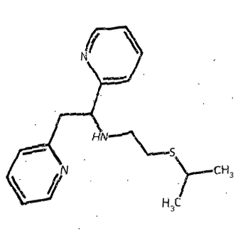 CC(C)SCCNC(Cc1ccccn1)c1ccccn1